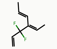 C=CC(F)(F)/C(C=CC)=C/C